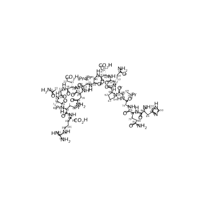 CC(C)C[C@H](NC(=O)[C@H](CC(C)C)NC(=O)[C@H](CC(N)=O)NC(=O)[C@H](CCC(=O)O)NC(=O)[C@H](CC(N)=O)NC(=O)[C@H](CC(C)C)NC(=O)[C@@H](NC(=O)[C@H](CCC(=O)O)NC(=O)[C@H](CCC(N)=O)NC(=O)[C@@H]1CCCN1C(=O)[C@H](CC(C)C)NC(=O)CNC(=O)[C@H](CCC(N)=O)NC(=O)[C@@H](N)Cc1c[nH]cn1)C(C)C)C(=O)N[C@@H](CCCNC(=N)N)C(=O)O